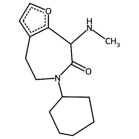 CNC1C(=O)N(C2CCCCC2)CCc2ccoc21